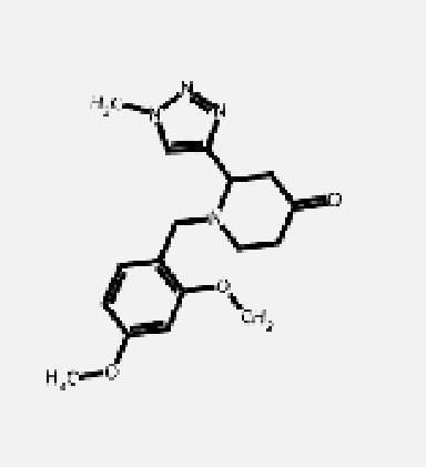 COc1ccc(CN2CCC(=O)CC2c2cn(C)nn2)c(OC)c1